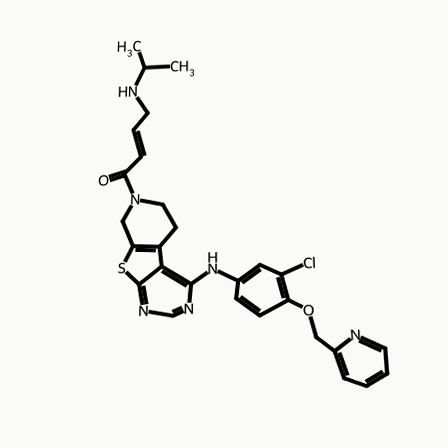 CC(C)NC/C=C/C(=O)N1CCc2c(sc3ncnc(Nc4ccc(OCc5ccccn5)c(Cl)c4)c23)C1